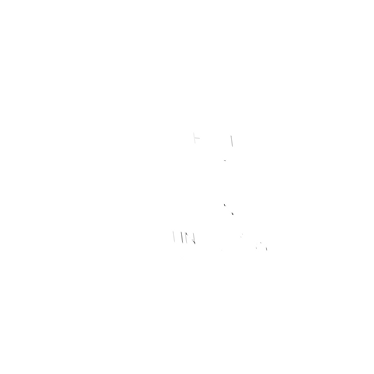 O=C([C@@H]1CCCN1)N1CCC(F)(F)CC1